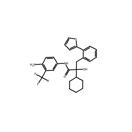 Nc1ccc(NC(=O)C(O)(Cc2ccccc2-c2cccs2)C2CCCCC2)cc1C(F)(F)F